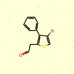 O=CCc1scc(Br)c1-c1ccccc1